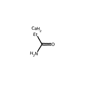 CCC(N)=O.[CaH2]